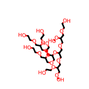 OCCOCC(COCC(COCC(COO)OCCO)OC(COCC(COCCO)OCCO)COCC(COCCO)OCCO)OO